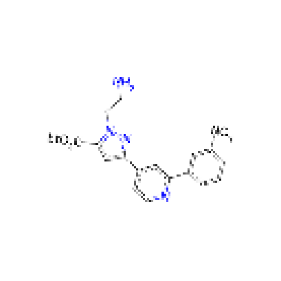 CCOC(=O)c1cc(-c2ccnc(-c3cccc([N+](=O)[O-])c3)c2)nn1CCN